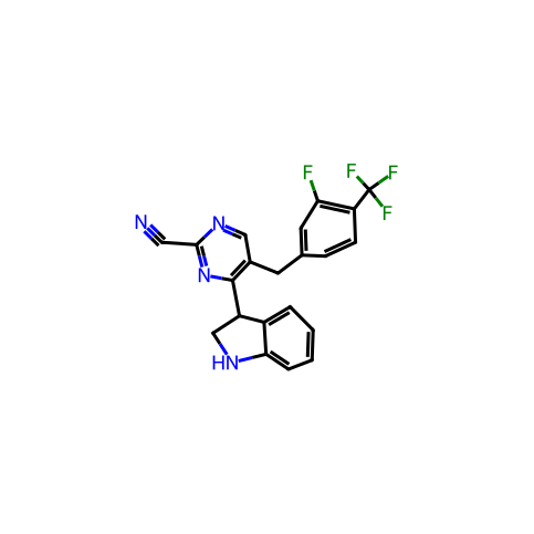 N#Cc1ncc(Cc2ccc(C(F)(F)F)c(F)c2)c(C2CNc3ccccc32)n1